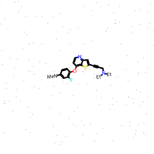 CCN(CC)CC#Cc1cc2nccc(Oc3ccc(NC)cc3F)c2s1